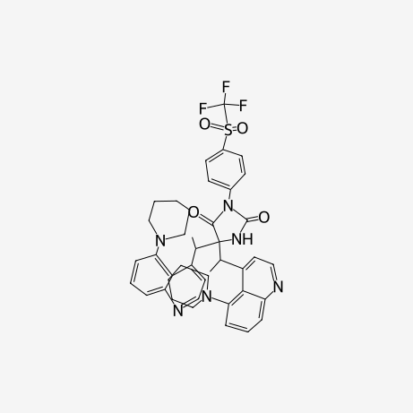 CC(c1ccnc2cccc(N3CCCCC3)c12)C1(C(C)c2ccnc3cccc(N4CCCCC4)c23)NC(=O)N(c2ccc(S(=O)(=O)C(F)(F)F)cc2)C1=O